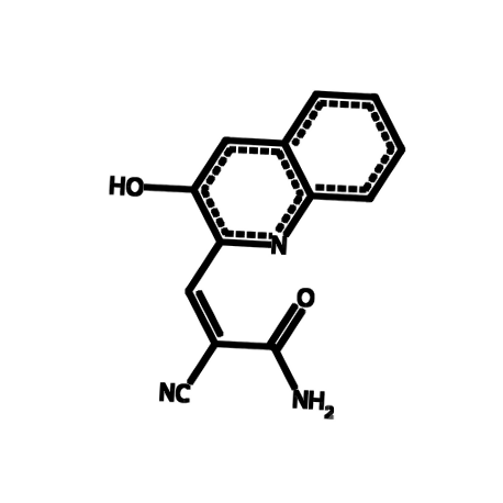 N#C/C(=C/c1nc2ccccc2cc1O)C(N)=O